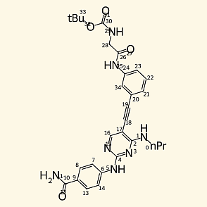 CCCNc1nc(Nc2ccc(C(N)=O)cc2)ncc1C#Cc1cccc(NC(=O)CNC(=O)OC(C)(C)C)c1